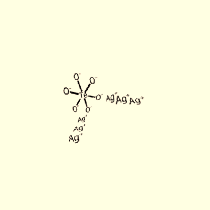 [Ag+].[Ag+].[Ag+].[Ag+].[Ag+].[Ag+].[O-][Te]([O-])([O-])([O-])([O-])[O-]